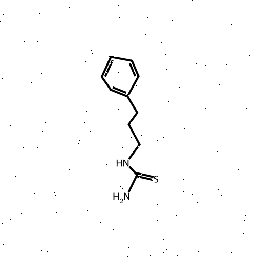 NC(=S)NCCCc1ccccc1